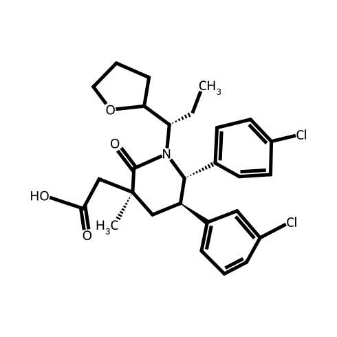 CC[C@@H](C1CCCO1)N1C(=O)[C@](C)(CC(=O)O)C[C@H](c2cccc(Cl)c2)[C@H]1c1ccc(Cl)cc1